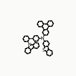 c1ccc(-n2c3ccccc3c3ccccc32)c(-c2ccc(N(c3ccc4c(c3)sc3ccccc34)c3ccc4c5ccccc5c5ccccc5c4c3)cc2)c1